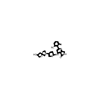 N#Cc1cccc(F)c1-c1cc(Nc2ccc(N3CC[C@@]4(CC(O)CO4)C3)cn2)c2c(n1)CNC2=O